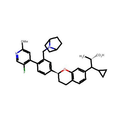 COc1cc(-c2ccc([C@@H]3CCc4ccc(C(C5CC5)[C@H](C)C(=O)O)cc4O3)cc2CN2C3CCC2CC3)c(F)cn1